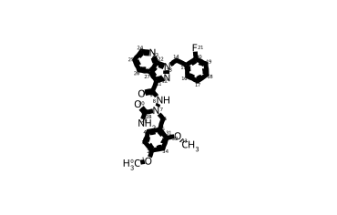 COc1ccc(CN(NC(=O)c2nn(Cc3ccccc3F)c3ncccc23)C(N)=O)c(OC)c1